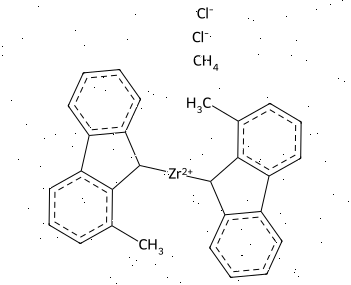 C.Cc1cccc2c1[CH]([Zr+2][CH]1c3ccccc3-c3cccc(C)c31)c1ccccc1-2.[Cl-].[Cl-]